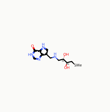 CSC[C@@H](O)[C@@H](O)CNCc1c[nH]c2c(=O)[nH]cnc12